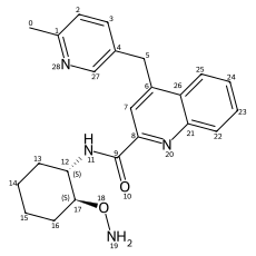 Cc1ccc(Cc2cc(C(=O)N[C@H]3CCCC[C@@H]3ON)nc3ccccc23)cn1